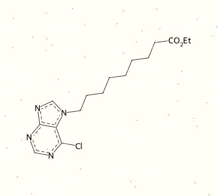 CCOC(=O)CCCCCCCCn1cnc2ncnc(Cl)c21